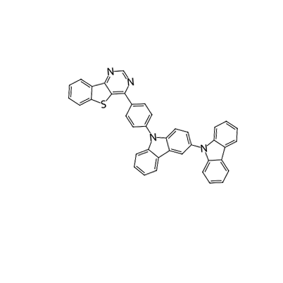 c1ccc2c(c1)sc1c(-c3ccc(-n4c5ccccc5c5cc(-n6c7ccccc7c7ccccc76)ccc54)cc3)ncnc12